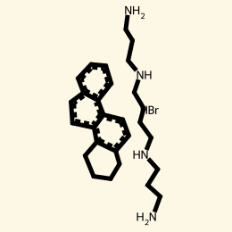 Br.NCCCNCCCCNCCCN.c1ccc2c(c1)ccc1c3c(ccc12)CCCC3